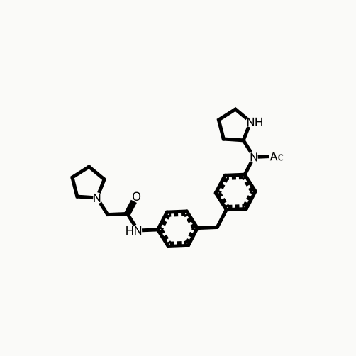 CC(=O)N(c1ccc(Cc2ccc(NC(=O)CN3CCCC3)cc2)cc1)C1CCCN1